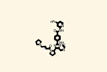 CCCc1ccnc(NC(=O)c2ccc(C3=NC(C4CCCN4C(=O)/C=C/CN4CCCC4)=C4C=NC=C[N+]34N)cc2)c1